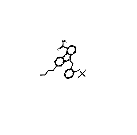 CCCCc1c[c]c2c3c(C(N)=O)cccc3n(Cc3ccccc3OC(F)(F)F)c2c1